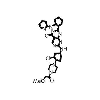 COCC(=O)N1CCN(c2ccc(Nc3ncc4c(=O)n5c(nc4n3)c3ccccc3n5-c3ccccn3)cc2Cl)CC1